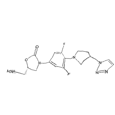 CC(=O)NC[C@H]1CN(c2cc(F)c(N3CCC(n4ccnn4)C3)c(F)c2)C(=O)O1